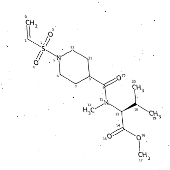 C=CS(=O)(=O)N1CCC(C(=O)N(C)[C@H](C(=O)OC)C(C)C)CC1